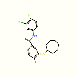 O=C(Nc1ccc(F)c(Cl)c1)c1ccc(I)c(SC2CCCCCC2)c1